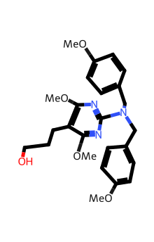 COc1ccc(CN(Cc2ccc(OC)cc2)c2nc(OC)c(CCCO)c(OC)n2)cc1